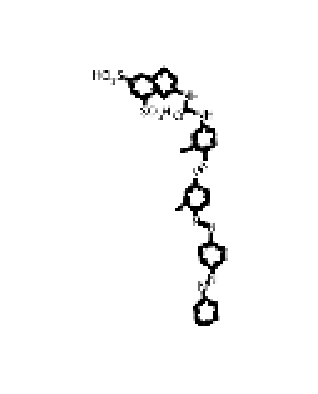 Cc1cc(N=Nc2ccc(NC(=O)Nc3ccc4cc(S(=O)(=O)O)cc(S(=O)(=O)O)c4c3)cc2C)ccc1N=Nc1ccc(N=Nc2ccccc2)cc1